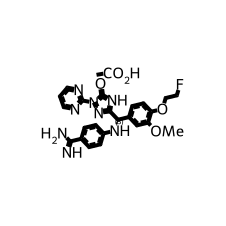 CC(=O)O.COc1cc([C@H](Nc2ccc(C(=N)N)cc2)c2nn(-c3ncccn3)c(=O)[nH]2)ccc1OCCF